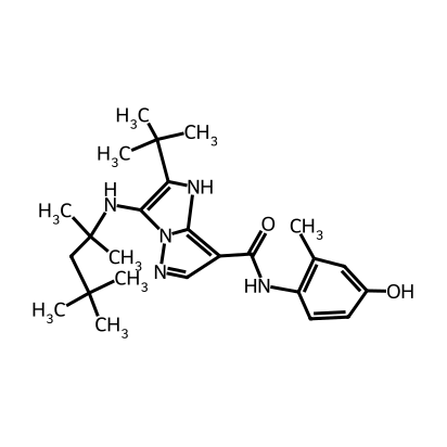 Cc1cc(O)ccc1NC(=O)c1cnn2c(NC(C)(C)CC(C)(C)C)c(C(C)(C)C)[nH]c12